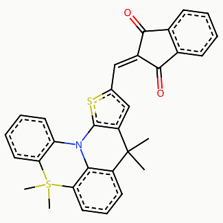 CC1(C)c2cc(C=C3C(=O)c4ccccc4C3=O)sc2N2c3ccccc3S(C)(C)c3cccc1c32